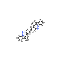 c1cc(-c2cccc(-c3cccc4c3[nH]c3ccccc34)c2)cc(-c2cccc3c2[nH]c2ccccc23)c1